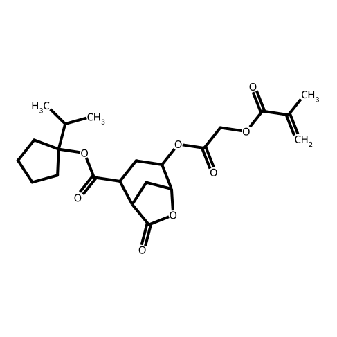 C=C(C)C(=O)OCC(=O)OC1CC(C(=O)OC2(C(C)C)CCCC2)C2CC1OC2=O